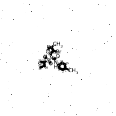 Cc1ccc(NC(=O)N(c2onc(C)c2Br)S(=O)(=O)c2ccsc2)cc1